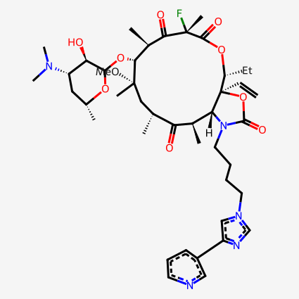 C=C[C@]12OC(=O)N(CCCCn3cnc(-c4cccnc4)c3)[C@@H]1[C@@H](C)C(=O)[C@H](C)C[C@](C)(OC)[C@H](OC1O[C@H](C)C[C@H](N(C)C)[C@H]1O)[C@@H](C)C(=O)[C@](C)(F)C(=O)O[C@@H]2CC